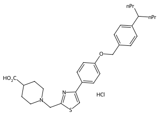 CCCC(CCC)c1ccc(COc2ccc(-c3csc(CN4CCC(C(=O)O)CC4)n3)cc2)cc1.Cl